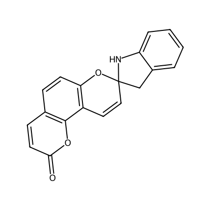 O=c1ccc2ccc3c(c2o1)C=CC1(Cc2ccccc2N1)O3